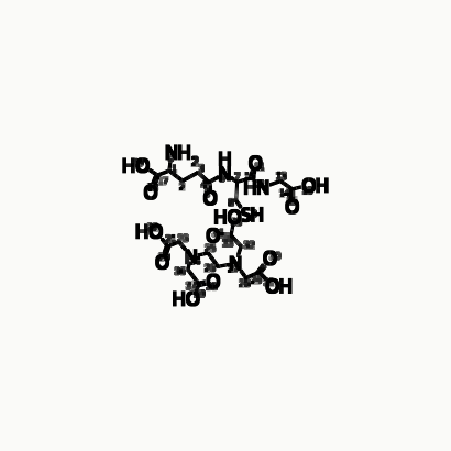 NC(CCC(=O)NC(CS)C(=O)NCC(=O)O)C(=O)O.O=C(O)CN(CCN(CC(=O)O)CC(=O)O)CC(=O)O